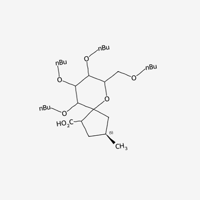 CCCCOCC1OC2(C[C@@H](C)CC2C(=O)O)C(OCCCC)C(OCCCC)C1OCCCC